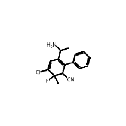 CC(N)C1=C(c2ccccc2)C(C#N)C(C)(F)C(Cl)=C1